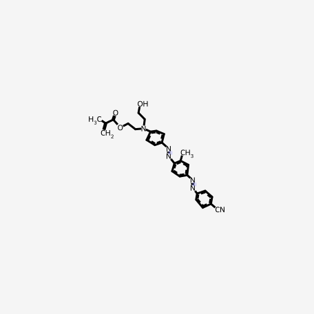 C=C(C)C(=O)OCCN(CCO)c1ccc(/N=N/c2ccc(/N=N/c3ccc(C#N)cc3)cc2C)cc1